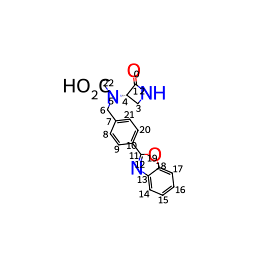 O=C1NC[C@@H]1N(Cc1ccc(-c2nc3ccccc3o2)cc1)C(=O)O